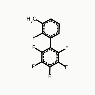 Cc1cccc(-c2c(F)c(F)c(F)c(F)c2F)c1F